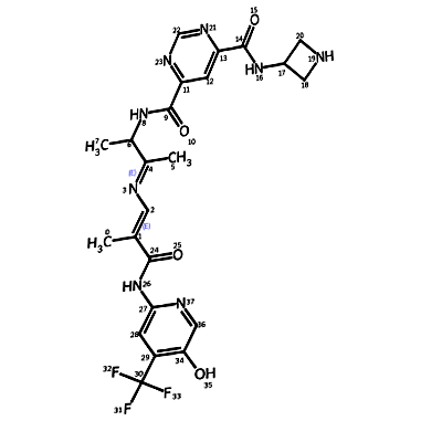 C/C(=C\N=C(/C)C(C)NC(=O)c1cc(C(=O)NC2CNC2)ncn1)C(=O)Nc1cc(C(F)(F)F)c(O)cn1